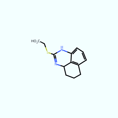 O=C(O)CSC1=NC2CCCc3cccc(c32)N1